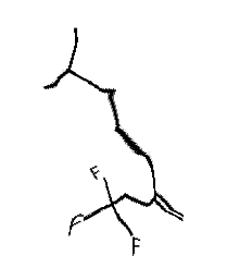 C=C(CCCC(C)C)C(F)(F)F